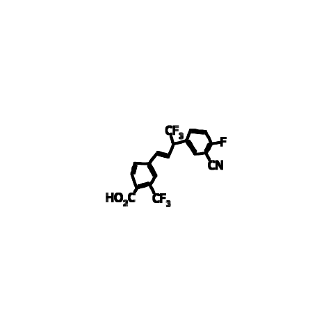 N#Cc1cc(C(C=Cc2ccc(C(=O)O)c(C(F)(F)F)c2)C(F)(F)F)ccc1F